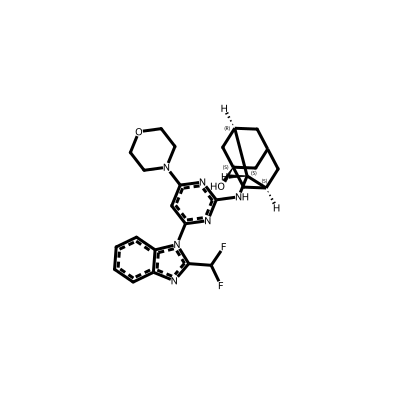 O[C@]12CC3C[C@H](C1)[C@@H](Nc1nc(N4CCOCC4)cc(-n4c(C(F)F)nc5ccccc54)n1)[C@@H](C3)C2